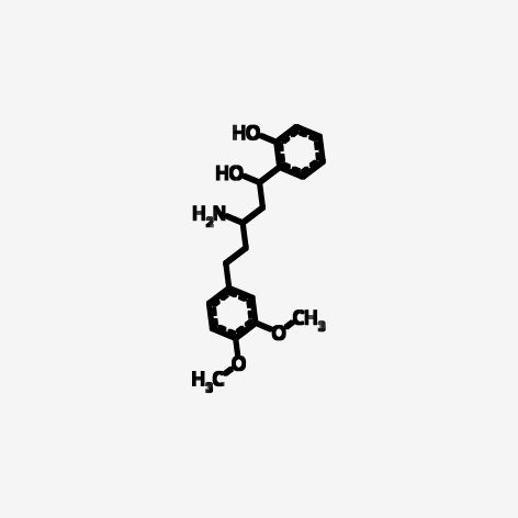 COc1ccc(CCC(N)CC(O)c2ccccc2O)cc1OC